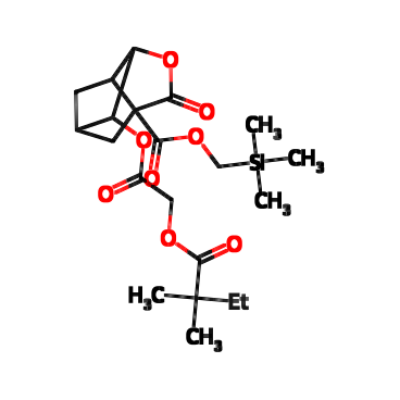 CCC(C)(C)C(=O)OCC(=O)OC1C2CC3C1OC(=O)C3(C(=O)OC[Si](C)(C)C)C2